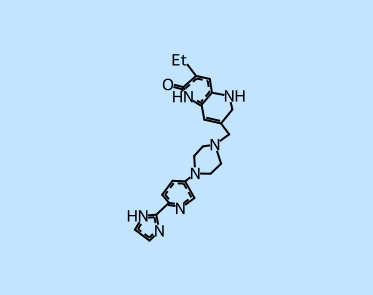 CCc1cc2c([nH]c1=O)C=C(CN1CCN(c3ccc(-c4ncc[nH]4)nc3)CC1)CN2